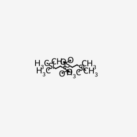 C[Si](C)(C)CCS(=O)(=O)S(=O)(=O)CC[Si](C)(C)C